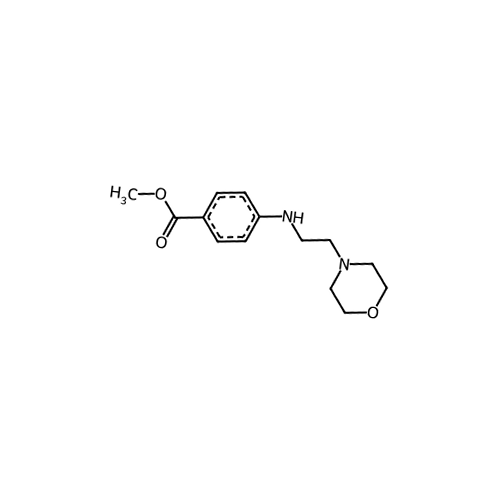 COC(=O)c1ccc(NCCN2CCOCC2)cc1